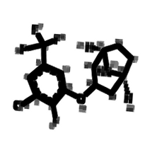 Fc1c(Cl)cc(C(F)(F)F)cc1OC1C[C@H]2CC[C@@H](C1)N2